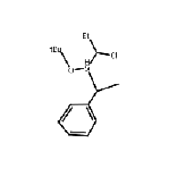 CCC(Cl)[SiH](OC(C)(C)C)C(C)c1ccccc1